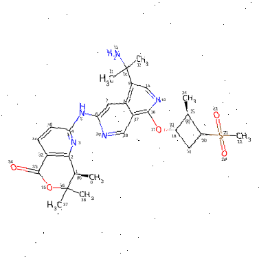 C[C@@H]1c2nc(Nc3cc4c(C(C)(C)N)cnc(O[C@H]5CC(S(C)(=O)=O)[C@@H]5C)c4cn3)ccc2C(=O)OC1(C)C